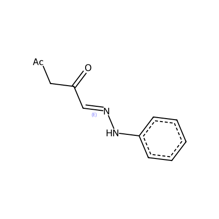 CC(=O)CC(=O)/C=N/Nc1ccccc1